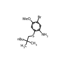 CCCCC(C)(C)CSc1cc(OC)c(Br)cc1N